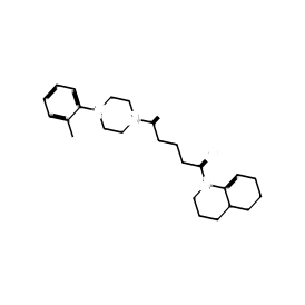 Cc1ccccc1N1CCN(C(=O)CCCC(=O)N2CCCC3CCCC=C32)CC1